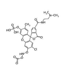 Cc1cc2c(cc1OP(=O)(O)O)Oc1cc(ONOP(=O)=O)c(Cl)cc1C21OC(=O)c2cc(C(=O)NCCN(C)C)ccc21